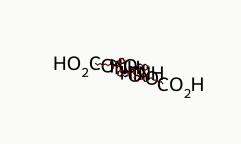 C=c1/c(=C2/C(=O)C(c3ccc4cccc5c4c3NC3(N5)c4ccccc4-c4ccc(OCCCCC(=O)O)cc43)=C2O)ccc2cccc(NC3(C)c4ccccc4-c4ccc(OCCCCC(=O)O)cc43)c12